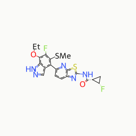 CCOc1c(F)c(SC)c(-c2ccc3nc(NC(=O)[C@@H]4C[C@@H]4F)sc3n2)c2cn[nH]c12